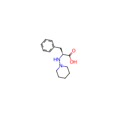 O=C(O)[C@H](Cc1ccccc1)NN1CCCCC1